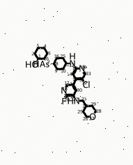 O[C@H]1CCCC[C@@H]1[AsH][C@H]1CC[C@H](Nc2cc(-c3cnc(F)c(NCC4CCOCC4)c3)c(Cl)cn2)CC1